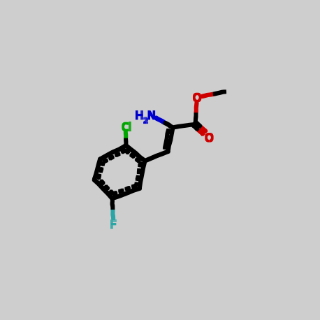 COC(=O)/C(N)=C/c1cc(F)ccc1Cl